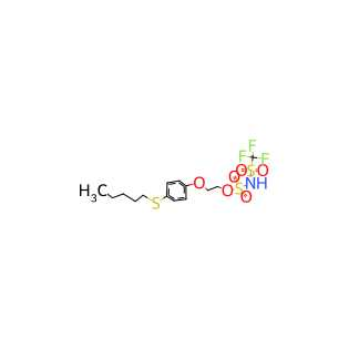 CCCCCSc1ccc(OCCOS(=O)(=O)NS(=O)(=O)C(F)(F)F)cc1